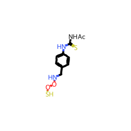 CC(=O)NC(=S)Nc1ccc(CNOOS)cc1